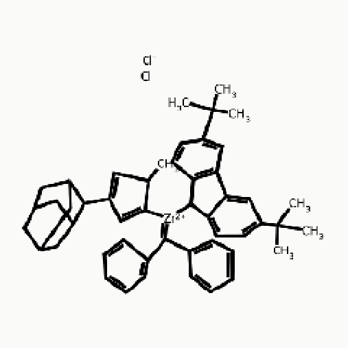 CC1C=C(C2C3CC4CC(C3)CC2C4)C=[C]1[Zr+2](=[C](c1ccccc1)c1ccccc1)[CH]1c2ccc(C(C)(C)C)cc2-c2cc(C(C)(C)C)ccc21.[Cl-].[Cl-]